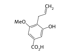 C=CCc1c(O)cc(C(=O)O)cc1OC